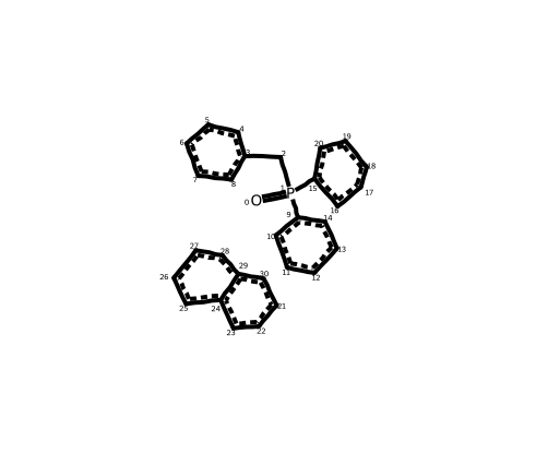 O=P(Cc1ccccc1)(c1ccccc1)c1ccccc1.c1ccc2ccccc2c1